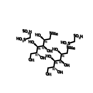 CNC[C@H](O)[C@@H](O)[C@H](O)[C@H](O)CO.CNC[C@H](O)[C@@H](O)[C@H](O)[C@H](O)CO.O=S(=O)(O)CS(=O)(=O)O.O=S(=O)(O)CS(=O)(=O)O